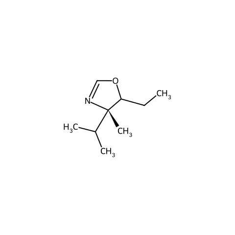 CCC1OC=N[C@@]1(C)C(C)C